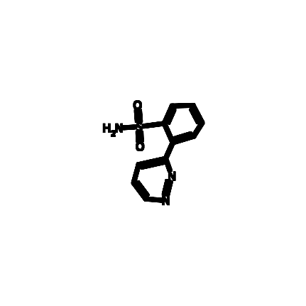 NS(=O)(=O)c1ccccc1-c1cccnn1